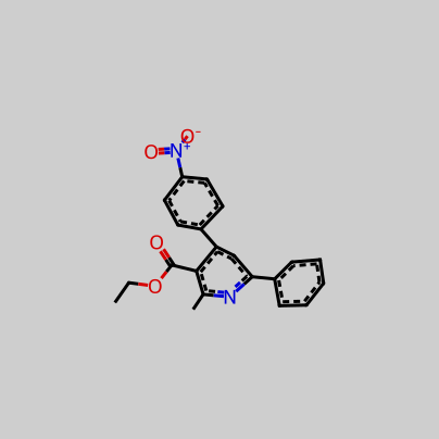 CCOC(=O)c1c(-c2ccc([N+](=O)[O-])cc2)cc(-c2ccccc2)nc1C